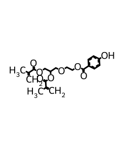 C=C(C)C(=O)OCC(COCCOC(=O)c1ccc(O)cc1)OC(=O)C(=C)C